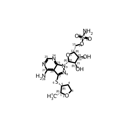 C[C@H]1OCC[C@H]1Sc1nn([C@@H]2O[C@H](COS(N)(=O)=O)[C@@H](O)[C@H]2O)c2ncnc(N)c12